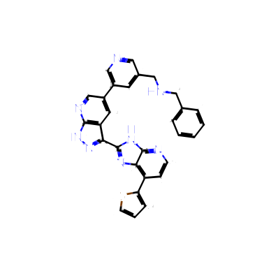 c1ccc(CNCc2cncc(-c3cnc4[nH]nc(-c5nc6c(-c7cccs7)ccnc6[nH]5)c4c3)c2)cc1